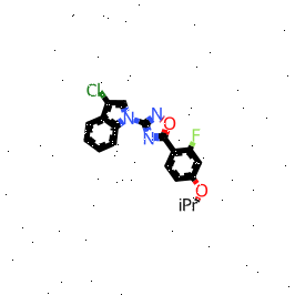 CC(C)Oc1ccc(-c2nc(-n3cc(Cl)c4ccccc43)no2)c(F)c1